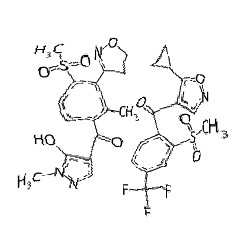 CS(=O)(=O)c1cc(C(F)(F)F)ccc1C(=O)c1cnoc1C1CC1.Cc1c(C(=O)c2cnn(C)c2O)ccc(S(C)(=O)=O)c1C1=NOCC1